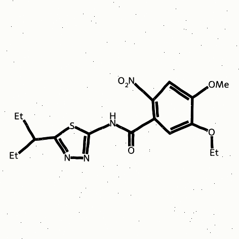 CCOc1cc(C(=O)Nc2nnc(C(CC)CC)s2)c([N+](=O)[O-])cc1OC